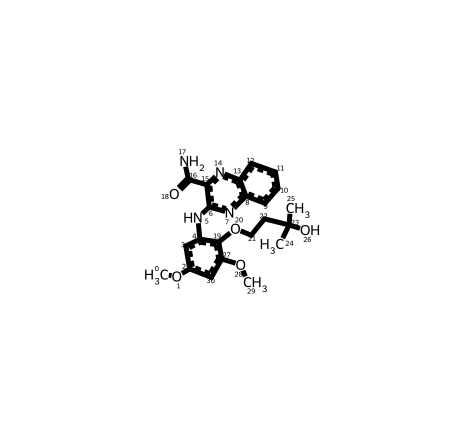 COc1cc(Nc2nc3ccccc3nc2C(N)=O)c(OCCC(C)(C)O)c(OC)c1